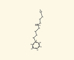 [O]CCCNCCCCc1ccccc1